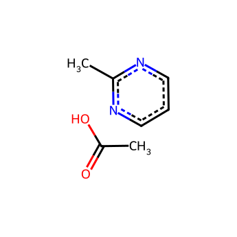 CC(=O)O.Cc1ncccn1